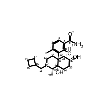 Cc1ccc(C(N)=O)c(O)c1[C@]12CCN(CC3CCC3)[C@H](C)[C@]1(O)CC[C@@H](O)C2